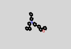 c1ccc(-c2ccc(N(c3ccc(-c4ccc5c(ccc6oc7ccccc7c65)c4)cc3)c3cccc(-c4cccc5ccccc45)c3)cc2)cc1